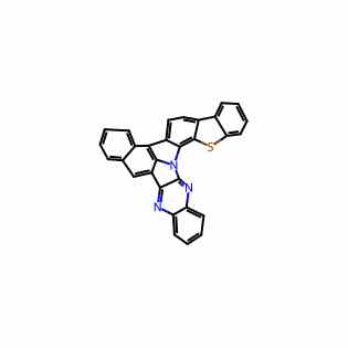 c1ccc2c(c1)cc1c3nc4ccccc4nc3n3c4c(ccc5c6ccccc6sc54)c2c13